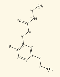 CCCc1ccc(F)c(CCC(=O)NCC)c1